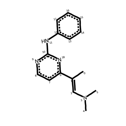 C/C(=C\N(C)C)c1ccnc(Nc2ccccc2)n1